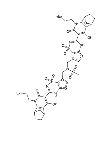 CC(C)(C)CCN1C(=O)C(C2=NS(=O)(=O)c3c(CN(Cc4csc5c4S(=O)(=O)N=C(C4=C(O)C6C7CCC(O7)C6N(CCC(C)(C)C)C4=O)N5)S(C)(=O)=O)csc3N2)=C(O)C2C3CCC(O3)C21